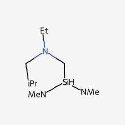 CCN(CC(C)C)C[SiH](NC)NC